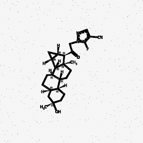 C[C@@]1(O)CC[C@H]2[C@H](CC[C@@H]3[C@@H]2CC[C@@]2(C)[C@H]3[C@@H]3C[C@@H]3[C@@H]2C(=O)Cn2ncc(C#N)c2F)C1